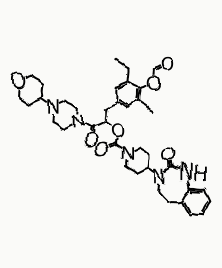 CCc1cc(C[C@@H](OC(=O)N2CCC(N3CCc4ccccc4NC3=O)CC2)C(=O)N2CCN(C3CCOCC3)CC2)cc(C)c1OC=O